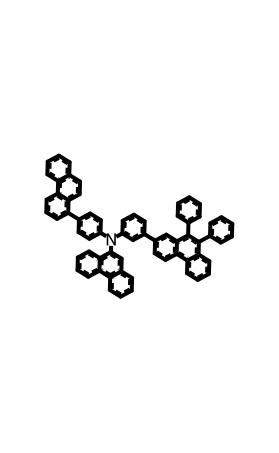 c1ccc(-c2c(-c3ccccc3)c3cc(-c4cccc(N(c5ccc(-c6cccc7c6ccc6ccccc67)cc5)c5cc6ccccc6c6ccccc56)c4)ccc3c3ccccc23)cc1